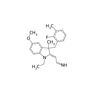 CCN1/C(=C\C=N)C(C)(Cc2cccc(C)c2F)c2cc(OC)ccc21